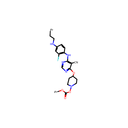 CC(C)CCNc1ccc(Nc2ncnc(OC3CCN(OC(=O)OC(C)C)CC3)c2C#N)c(F)c1